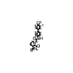 CN1C(=O)C2=C(C1=O)N(CC(=O)Nc1ccc(-c3ccc(C(F)(F)F)nc3)nn1)CCC2